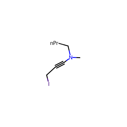 CCCCN(C)C#CCI